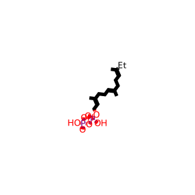 CCC(C)=CCCC(C)=CCCC(C)=CCOP(=O)(O)OP(=O)(O)O